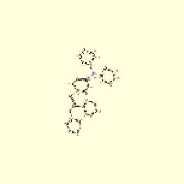 C(=C(Cc1ccccc1)c1ccccc1)c1ccc(N(c2ccccc2)c2ccccc2)cc1